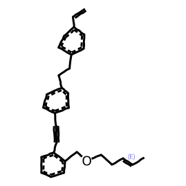 C=Cc1ccc(CCc2ccc(C#Cc3ccccc3COCC/C=C/C)cc2)cc1